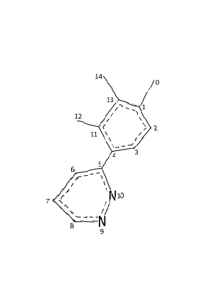 Cc1ccc(-c2cccnn2)c(C)c1C